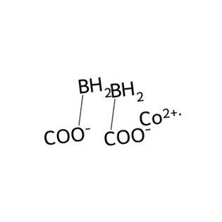 BC(=O)[O-].BC(=O)[O-].[Co+2]